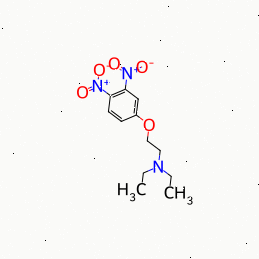 CCN(CC)CCOc1ccc([N+](=O)[O-])c([N+](=O)[O-])c1